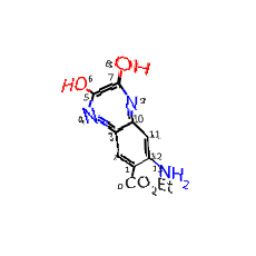 CCOC(=O)c1cc2nc(O)c(O)nc2cc1N